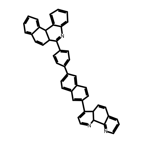 C1=CC2C(c3ccc(-c4ccc5cc(C6=CC=NC7c8ncccc8C=CC67)ccc5c4)cc3)=Nc3ccccc3C2c2ccccc21